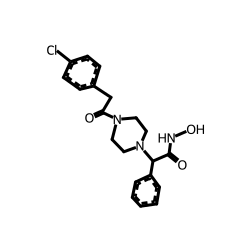 O=C(NO)C(c1ccccc1)N1CCN(C(=O)Cc2ccc(Cl)cc2)CC1